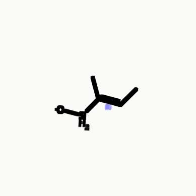 C/C=C(\C)[SiH2][O]